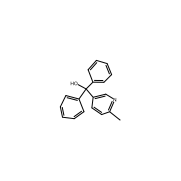 Cc1ccc(C(O)(c2ccccc2)c2ccccc2)cn1